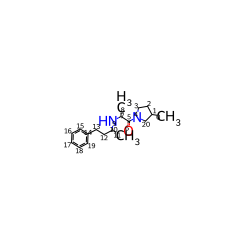 CC1CCN(C(=O)C(C)NC(C)CCc2ccccc2)C1